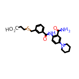 NC(=O)c1cc(N2CCCCC2)ccc1NC(=O)c1cccc(CSCCC(=O)O)c1